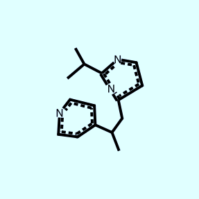 CC(C)c1nccc(CC(C)c2ccncc2)n1